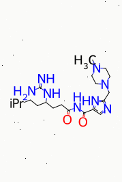 CC(C)CCC(CCC(=O)NC(=O)c1cnc(CN2CCN(C)CC2)[nH]1)NC(=N)N